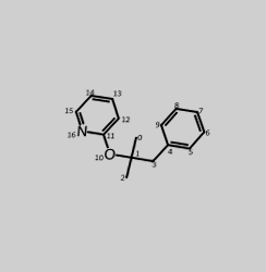 CC(C)(Cc1ccccc1)Oc1ccccn1